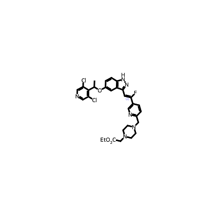 CCOC(=O)CN1CCN(Cc2ccc(/C(F)=C/c3n[nH]c4ccc(OC(C)c5c(Cl)cncc5Cl)cc34)cn2)CC1